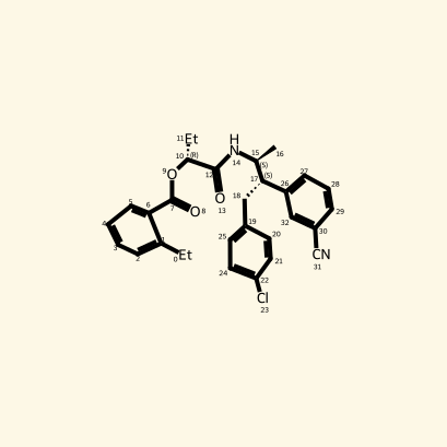 CCc1ccccc1C(=O)O[C@H](CC)C(=O)N[C@@H](C)[C@@H](Cc1ccc(Cl)cc1)c1cccc(C#N)c1